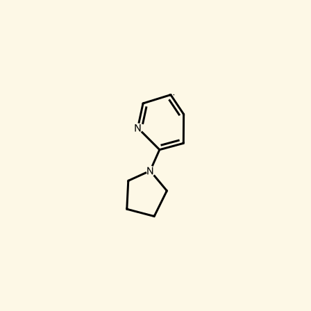 [c]1ccc(N2CCCC2)nc1